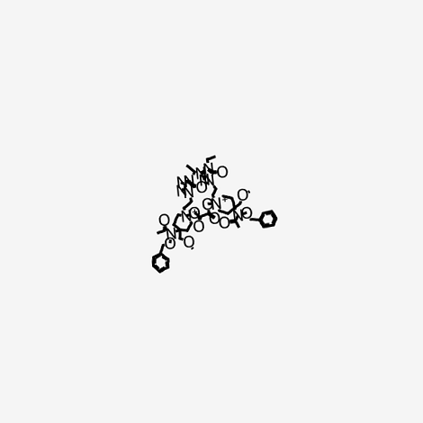 CCn1nnn(CC[N+]2(OC(=O)C(=O)O[N+]3(CCn4nnn(CC)c4=O)CCC(COC)(N(OCc4ccccc4)C(C)=O)CC3)CCC(COC)(N(OCc3ccccc3)C(C)=O)CC2)c1=O